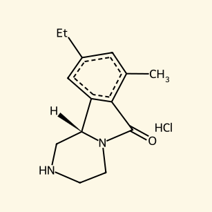 CCc1cc(C)c2c(c1)[C@H]1CNCCN1C2=O.Cl